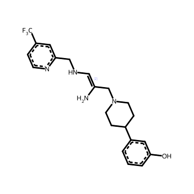 N/C(=C\NCc1cc(C(F)(F)F)ccn1)CN1CCC(c2cccc(O)c2)CC1